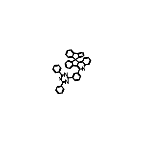 c1ccc(-c2nc(-c3ccccc3)nc(-c3cccc(-c4nc5ccccc5c5c4-c4ccccc4C54c5ccccc5-c5ccccc54)c3)n2)cc1